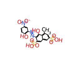 Cc1cc(S(=O)(=O)O)cc2cc(S(=O)(=O)O)c(N=Nc3cc([N+](=O)[O-])ccc3O)c(O)c12